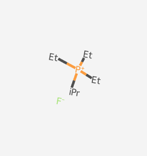 CC[P+](CC)(CC)C(C)C.[F-]